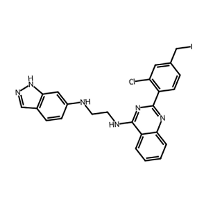 Clc1cc(CI)ccc1-c1nc(NCCNc2ccc3cn[nH]c3c2)c2ccccc2n1